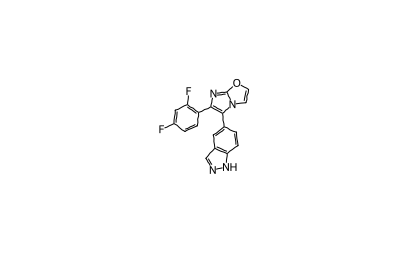 Fc1ccc(-c2nc3occn3c2-c2ccc3[nH]ncc3c2)c(F)c1